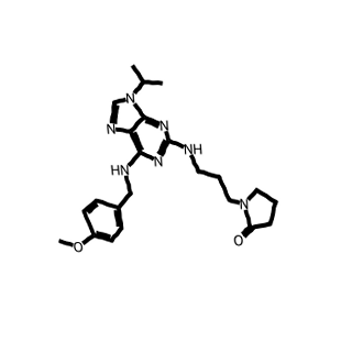 COc1ccc(CNc2nc(NCCCN3CCCC3=O)nc3c2ncn3C(C)C)cc1